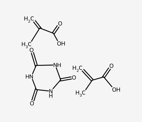 C=C(C)C(=O)O.C=C(C)C(=O)O.O=c1[nH]c(=O)[nH]c(=O)[nH]1